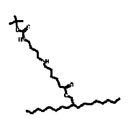 CCCCCCCCC(CCCCCCCC)COC(=O)CCCCCNCCCCNC(=O)OC(C)(C)C